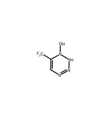 ON1NN=NC=C1C(F)(F)F